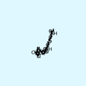 CCC(=O)NCCOCCOCCOCCNS(=O)(=O)c1cccc(C2CN(C)Cc3c(Cl)cc(Cl)cc32)c1